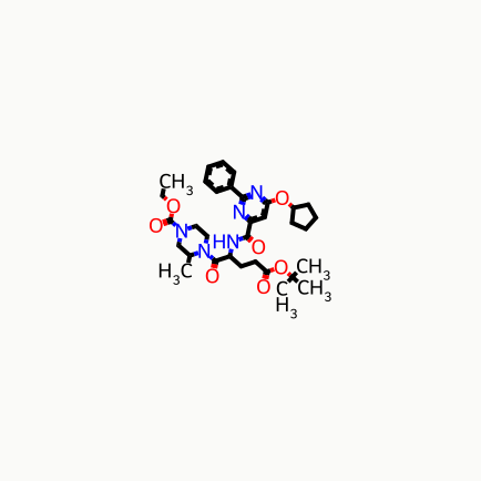 CCOC(=O)N1CCN(C(=O)C(CCC(=O)OC(C)(C)C)NC(=O)c2cc(OC3CCCC3)nc(-c3ccccc3)n2)C(C)C1